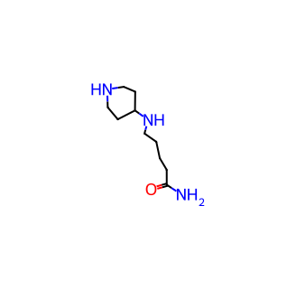 NC(=O)CCCCNC1CCNCC1